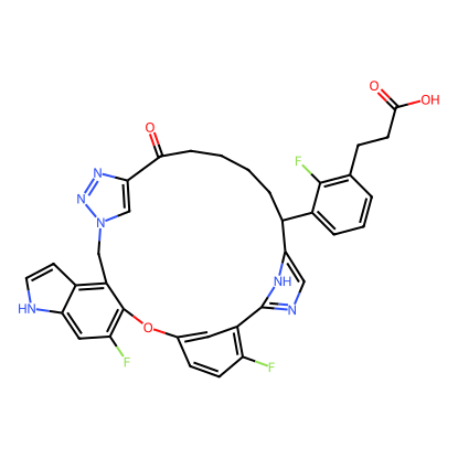 O=C(O)CCc1cccc(C2CCCCC(=O)c3cn(nn3)Cc3c(c(F)cc4[nH]ccc34)Oc3ccc(F)c(c3)-c3ncc2[nH]3)c1F